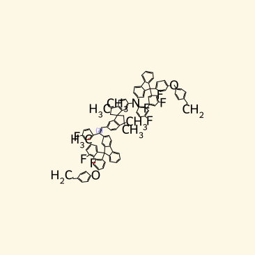 C=Cc1ccc(Oc2ccc(C3(c4cc(C)cc(F)c4F)c4ccccc4-c4ccc(/C(=C\c5ccc6c(c5)C5(CC6(C)C)CC(C)(C)c6ccc(N(c7ccc(F)cc7)c7ccc8c(c7)C(c7ccc(Oc9ccc(C=C)cc9)cc7)(c7cc(F)cc(F)c7F)c7ccccc7-8)cc65)c5ccc(F)cc5)cc43)cc2)cc1